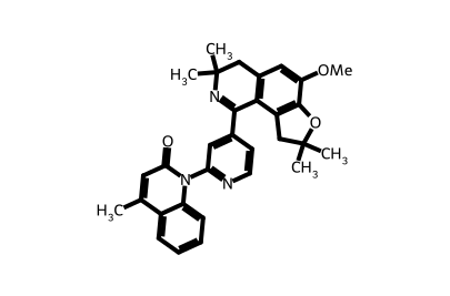 COc1cc2c(c3c1OC(C)(C)C3)C(c1ccnc(-n3c(=O)cc(C)c4ccccc43)c1)=NC(C)(C)C2